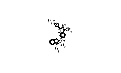 CN1CC(C(=O)N(C)[C@@H](c2ccc(NC3Cc4ccccc4C3(C)C)cc2)C(F)(F)F)C1